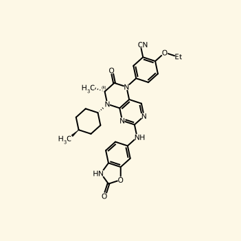 CCOc1ccc(N2C(=O)[C@@H](C)N([C@H]3CC[C@H](C)CC3)c3nc(Nc4ccc5[nH]c(=O)oc5c4)ncc32)cc1C#N